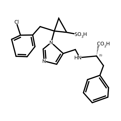 O=C(O)[C@H](Cc1ccccc1)NCc1cncn1C1(Cc2ccccc2Cl)CC1S(=O)(=O)O